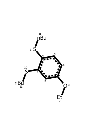 CCCCSc1ccc(OCC)cc1SCCCC